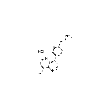 COc1ccnc2c(-c3ccc(CCN)nc3)ccnc12.Cl